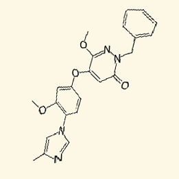 COc1cc(Oc2cc(=O)n(Cc3ccccc3)nc2OC)ccc1-n1cnc(C)c1